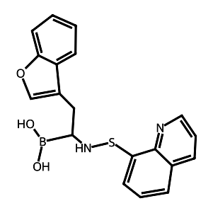 OB(O)C(Cc1coc2ccccc12)NSc1cccc2cccnc12